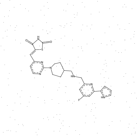 O=C1NC(=O)C(=Cc2ccnc(N3CCC(CNCc4cc(F)cc(-c5ccc[nH]5)n4)CC3)n2)S1